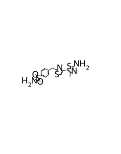 Cc1nc(N)sc1-c1csc(Cc2ccc(S(N)(=O)=O)cc2)n1